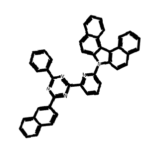 c1ccc(-c2nc(-c3ccc4ccccc4c3)nc(-c3cccc(-n4c5ccc6ccccc6c5c5c6ccccc6ccc54)n3)n2)cc1